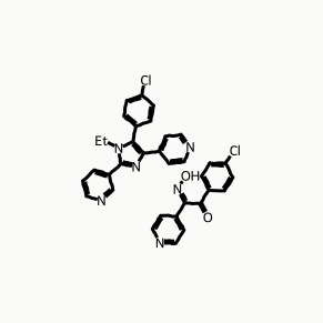 CCn1c(-c2cccnc2)nc(-c2ccncc2)c1-c1ccc(Cl)cc1.O=C(C(=NO)c1ccncc1)c1ccc(Cl)cc1